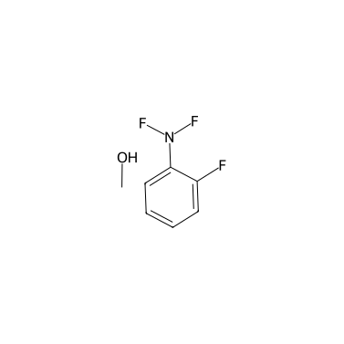 CO.Fc1ccccc1N(F)F